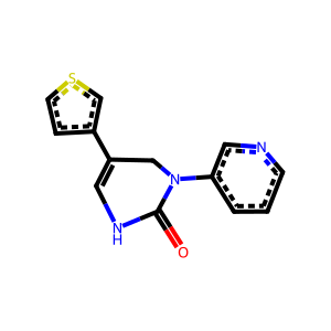 O=C1NC=C(c2ccsc2)CN1c1cccnc1